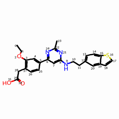 CCOc1cc(-c2cc(NCCc3ccc4sccc4c3)nc(C)n2)ccc1CC(=O)O